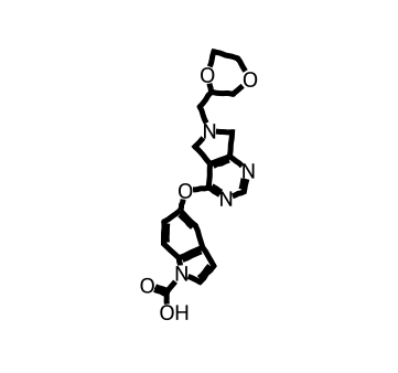 O=C(O)n1ccc2cc(Oc3ncnc4c3CN(CC3COCCO3)C4)ccc21